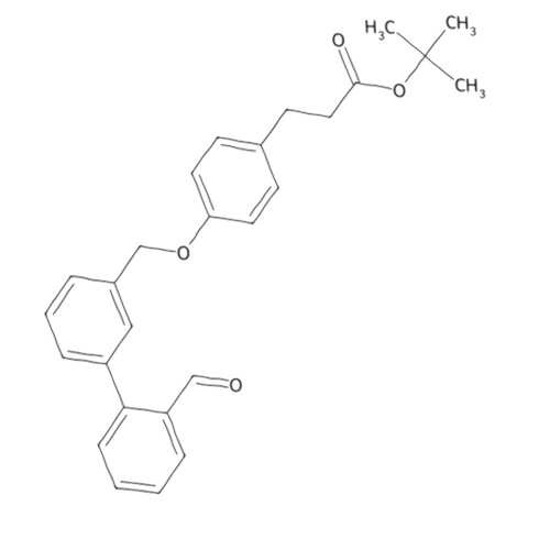 CC(C)(C)OC(=O)CCc1ccc(OCc2cccc(-c3ccccc3C=O)c2)cc1